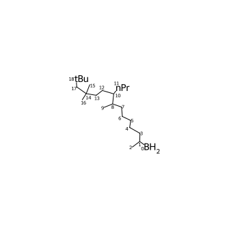 BC(C)CCCCCC(C)C(CCC)CCC(C)(C)CC(C)(C)C